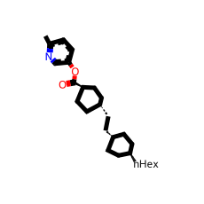 CCCCCC[C@H]1CC[C@H](CC[C@H]2CC[C@H](C(=O)Oc3ccc(C)nc3)CC2)CC1